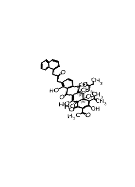 CCC(=O)C[C@@H]1[C@]2(C)C(=C(O)[C@@]3(O)C(=O)C(C(C)=O)=C(O)C(C(C)C)[C@@]13C)C(=O)c1c(ccc(CC(=O)Cc3cccc4ccccc34)c1O)[C@H]2C